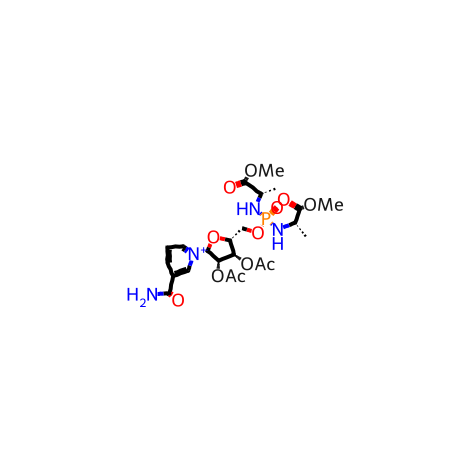 COC(=O)[C@H](C)NP(=O)(N[C@@H](C)C(=O)OC)OC[C@H]1O[C@@H]([n+]2cccc(C(N)=O)c2)[C@H](OC(C)=O)[C@@H]1OC(C)=O